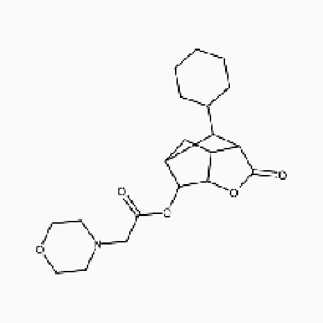 O=C(CN1CCOCC1)OC1C2CC3C1OC(=O)C3C2C1CCCCC1